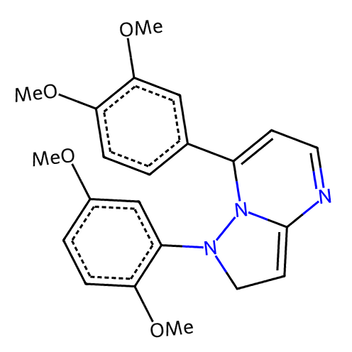 COc1ccc(OC)c(N2CC=C3N=CC=C(c4ccc(OC)c(OC)c4)N32)c1